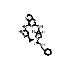 O=C(NCc1ccccc1)N1C[C@@H]2C(Nc3nc(Nc4cc(C5CC5)n[nH]4)c4sccc4n3)[C@@H]2C1